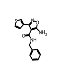 Nc1onc(-c2ccsc2)c1C(=O)NCc1ccccc1